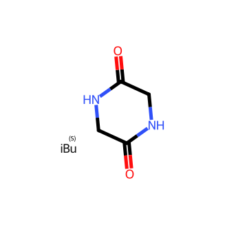 CC[C@H](C)C1NC(=O)CNC1=O